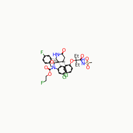 CCC(CC)(Oc1ccc(Cl)cc1[C@H]1CC(=O)N[C@@H](c2cc(F)ccc2C)[C@]12C(=O)N(C(=O)OCCF)c1cc(Cl)ccc12)C(=O)NS(C)(=O)=O